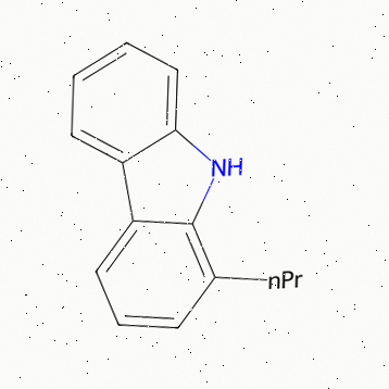 CCCc1cccc2c1[nH]c1ccccc12